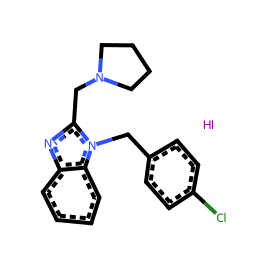 Clc1ccc(Cn2c(CN3CCCC3)nc3ccccc32)cc1.I